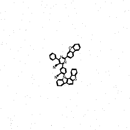 N#Cc1cc(-c2nc(-c3ccc4c(c3)oc3ccccc34)nc(-c3ccccc3)c2C#N)ccc1-n1c2ccccc2c2ccc3sc4ccccc4c3c21